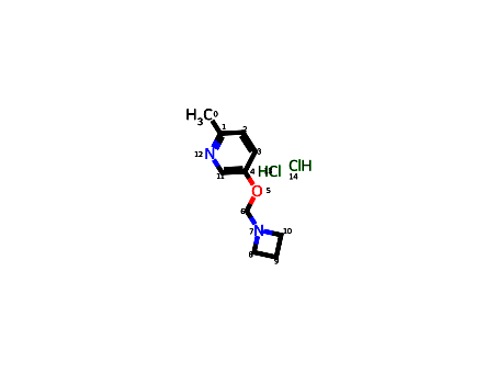 Cc1ccc(OCN2CCC2)cn1.Cl.Cl